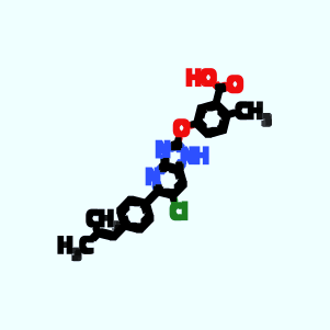 CC(C)=Cc1ccc(-c2nc3nc(Oc4ccc(C)c(C(=O)O)c4)[nH]c3cc2Cl)cc1